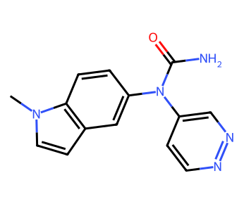 Cn1ccc2cc(N(C(N)=O)c3ccnnc3)ccc21